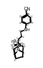 CCCCS(=O)(=O)N1C2CCC1CN(CCCNc1ccc(C#N)cc1)C2